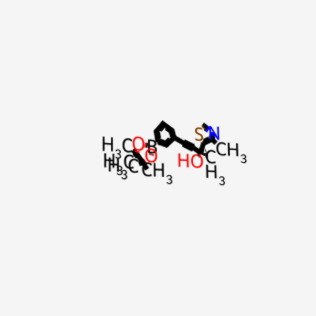 Cc1ncsc1[C@](C)(O)C#Cc1cccc(B2OC(C)(C)C(C)(C)O2)c1